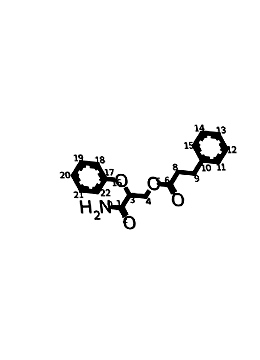 NC(=O)C(COC(=O)CCc1ccccc1)Oc1ccccc1